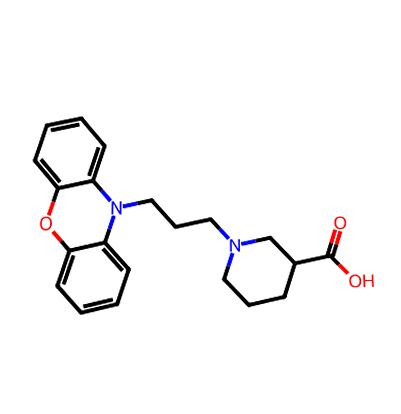 O=C(O)C1CCCN(CCCN2c3ccccc3Oc3ccccc32)C1